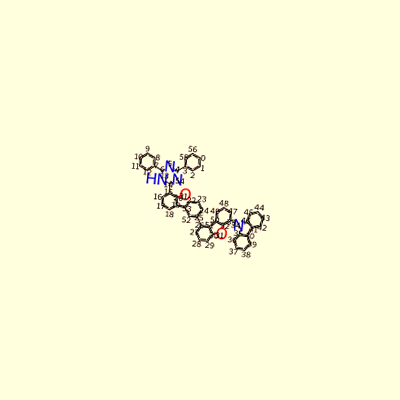 c1ccc(C2=NC(c3ccccc3)NC(c3cccc4c3oc3ccc(-c5cccc6oc7c(-n8c9ccccc9c9ccccc98)cccc7c56)cc34)=N2)cc1